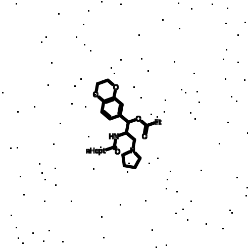 CCCCCCCC(=O)NC(CN1CCCC1)C(OC(=O)CC)c1ccc2c(c1)OCCO2